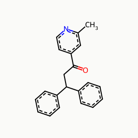 Cc1cc(C(=O)CC(c2ccccc2)c2ccccc2)ccn1